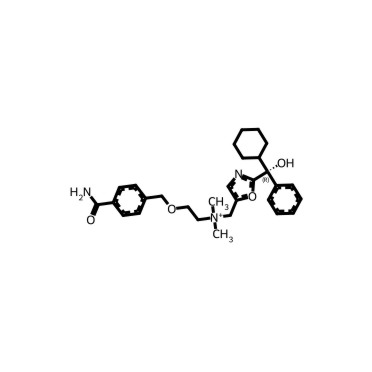 C[N+](C)(CCOCc1ccc(C(N)=O)cc1)Cc1cnc([C@](O)(c2ccccc2)C2CCCCC2)o1